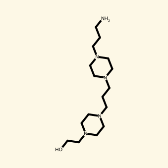 NCCCN1CCN(CCCN2CCN(CCO)CC2)CC1